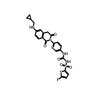 O=C(Nc1ccc(N2C(=O)Cc3cc(NCC4CC4)ccc3C2=O)nc1)NS(=O)(=O)c1ccc(F)s1